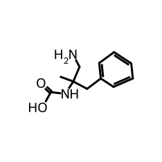 CC(CN)(Cc1ccccc1)NC(=O)O